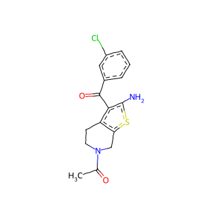 CC(=O)N1CCc2c(sc(N)c2C(=O)c2cccc(Cl)c2)C1